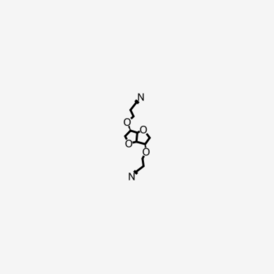 N#CCCO[C@@H]1COC2C1OC[C@H]2OCCC#N